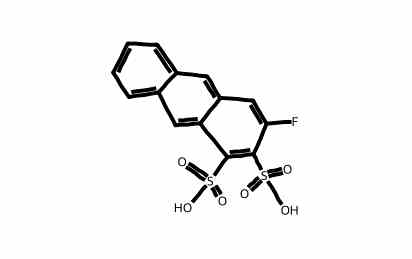 O=S(=O)(O)c1c(F)cc2cc3ccccc3cc2c1S(=O)(=O)O